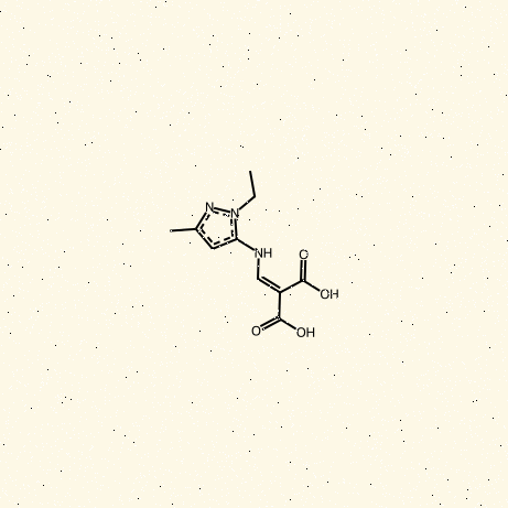 CCn1nc(C)cc1NC=C(C(=O)O)C(=O)O